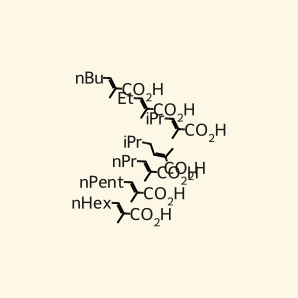 CC(=CC(C)C)C(=O)O.CC(=CCC(C)C)C(=O)O.CCC=C(C)C(=O)O.CCCC=C(C)C(=O)O.CCCCC=C(C)C(=O)O.CCCCCC=C(C)C(=O)O.CCCCCCC=C(C)C(=O)O